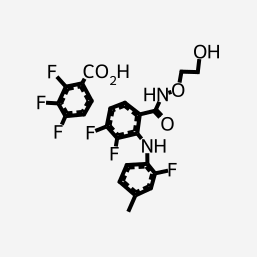 Cc1ccc(Nc2c(C(=O)NOCCO)ccc(F)c2F)c(F)c1.O=C(O)c1ccc(F)c(F)c1F